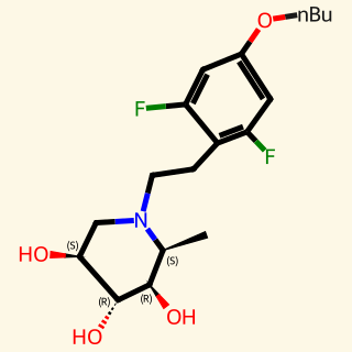 CCCCOc1cc(F)c(CCN2C[C@H](O)[C@@H](O)[C@H](O)[C@@H]2C)c(F)c1